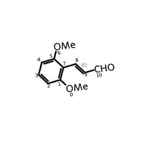 COc1cccc(OC)c1/C=C/C=O